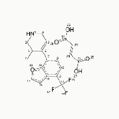 CC1CNCC=C1c1ccc(C(F)(F)F)c2ccoc12.O=C(O)/C=C/C(=O)O